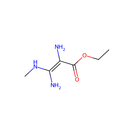 CCOC(=O)/C(N)=C(\N)NC